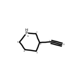 C#CC1CCCPC1